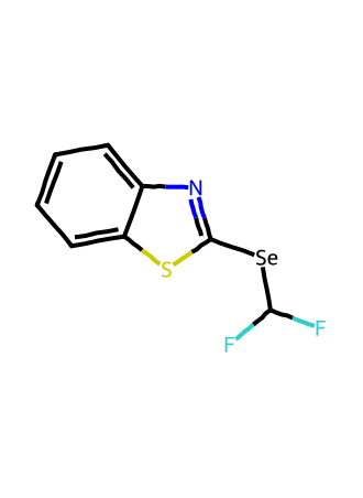 FC(F)[Se]c1nc2ccccc2s1